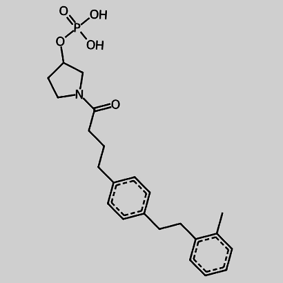 Cc1ccccc1CCc1ccc(CCCC(=O)N2CCC(OP(=O)(O)O)C2)cc1